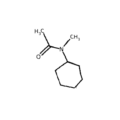 CC(=O)N(C)C1CC[CH]CC1